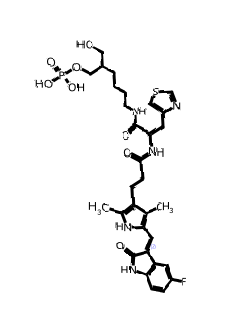 Cc1[nH]c(/C=C2\C(=O)Nc3ccc(F)cc32)c(C)c1CCC(=O)NC(Cc1cscn1)C(=O)NCCCCC(CO)COP(=O)(O)O